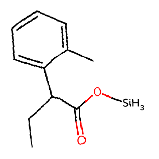 CCC(C(=O)O[SiH3])c1ccccc1C